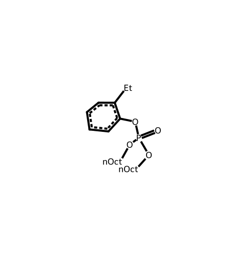 CCCCCCCCOP(=O)(OCCCCCCCC)Oc1ccccc1CC